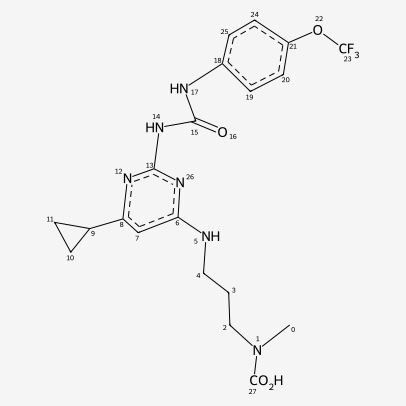 CN(CCCNc1cc(C2CC2)nc(NC(=O)Nc2ccc(OC(F)(F)F)cc2)n1)C(=O)O